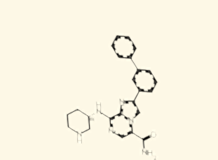 NC(=O)c1cnc(N[C@H]2CCCNC2)c2nc(-c3cccc(-c4ccccc4)c3)cn12